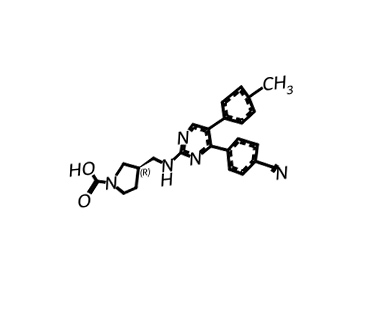 Cc1ccc(-c2cnc(NC[C@H]3CCN(C(=O)O)C3)nc2-c2ccc(C#N)cc2)cc1